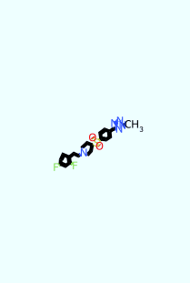 Cn1nnc(-c2ccc(S(=O)(=O)C3CCN(CCc4ccc(F)cc4F)CC3)cc2)n1